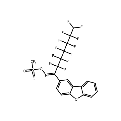 O=S(=O)(ON=C(c1ccc2oc3ccccc3c2c1)C(F)(F)C(F)(F)C(F)(F)C(F)(F)C(F)(F)C(F)F)C(F)(F)F